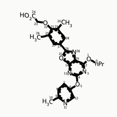 CCCOc1nc(Oc2ccc(C)nc2)nc2oc(-c3cc(C)c(OCC(=O)O)c(C)c3)nc12